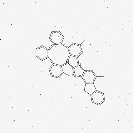 Cc1cc2c3ccccc3c3ccccc3c3cccc(C)c3n3c2c(c1)n1c2cc(C)c4c(c2nc13)Cc1ccccc1-4